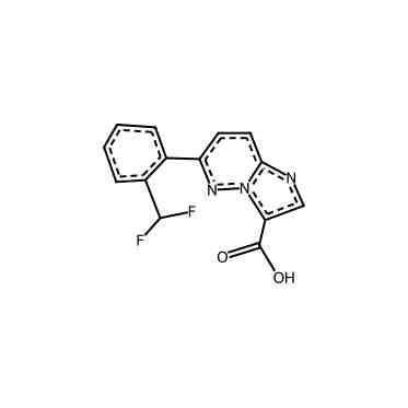 O=C(O)c1cnc2ccc(-c3ccccc3C(F)F)nn12